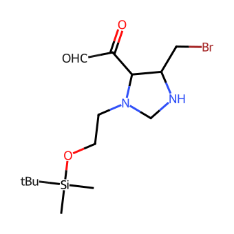 CC(C)(C)[Si](C)(C)OCCN1CNC(CBr)C1C(=O)C=O